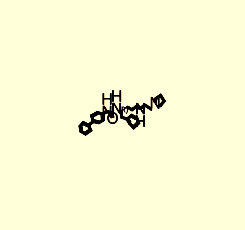 O=C(Nc1ccc(-c2ccccc2)cc1)N[C@H](CCCNCCN1CCCC1)Cc1ccccc1